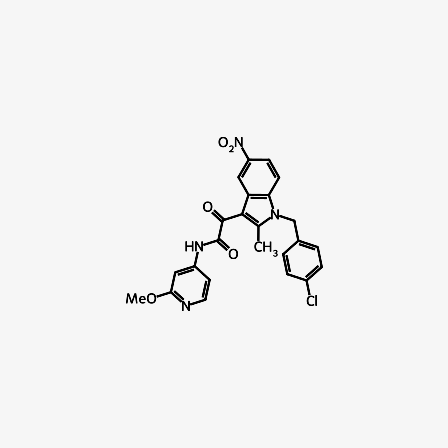 COc1cc(NC(=O)C(=O)c2c(C)n(Cc3ccc(Cl)cc3)c3ccc([N+](=O)[O-])cc23)ccn1